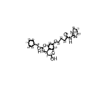 O=C(O)CC(NC(=O)OCc1ccccc1)c1ccc(OCCCC(=O)NC2=NCCCN2)cc1